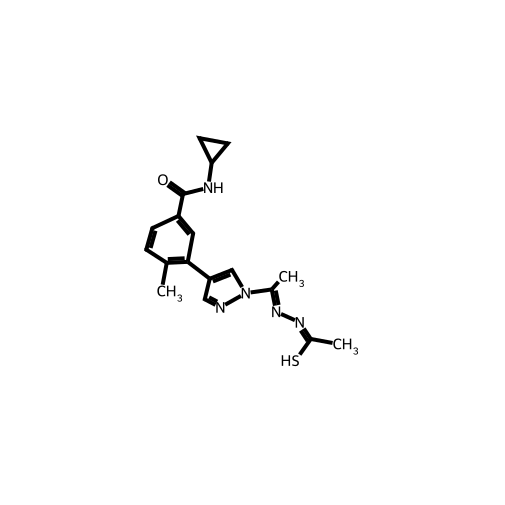 C/C(S)=N/N=C(\C)n1cc(-c2cc(C(=O)NC3CC3)ccc2C)cn1